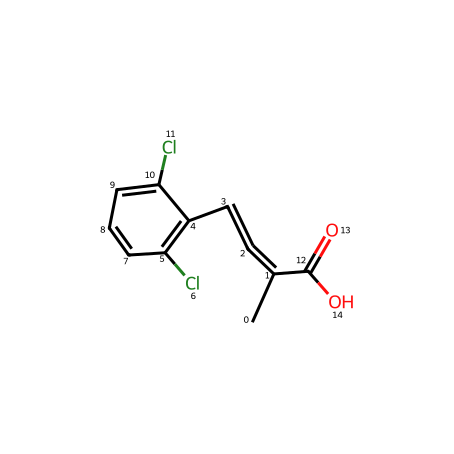 CC(=C=Cc1c(Cl)cccc1Cl)C(=O)O